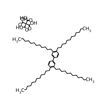 CCCCCCCCCCCCc1ccc(-c2ccc(CCCCCCCCCCCC)c(CCCCCCCCCCCC)c2)cc1CCCCCCCCCCCC.O=C(O)C(C(=O)O)(C(=O)O)C(=O)O